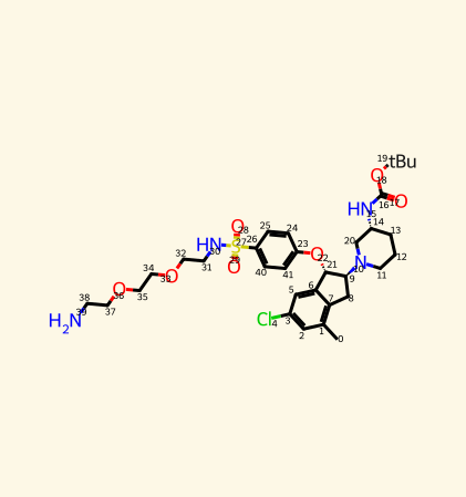 Cc1cc(Cl)cc2c1C[C@H](N1CCC[C@@H](NC(=O)OC(C)(C)C)C1)[C@H]2Oc1ccc(S(=O)(=O)NCCOCCOCCN)cc1